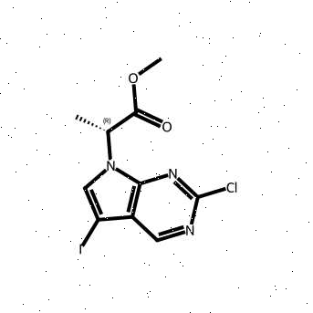 COC(=O)[C@@H](C)n1cc(I)c2cnc(Cl)nc21